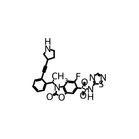 C[C@H](c1ccccc1C#CC1CCNC1)n1c(=O)oc2cc(S(=O)(=O)Nc3ncns3)c(F)cc21